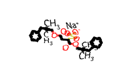 CC(C)(COC(=O)CC(C(=O)OCC(C)(C)Cc1ccccc1)S(=O)(=O)[O-])Cc1ccccc1.[Na+]